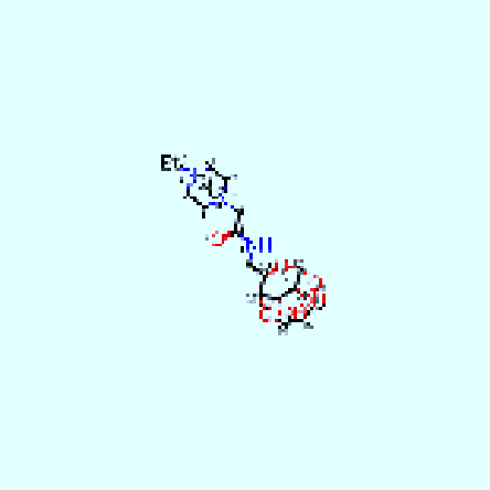 CC[N+]12CC[N+](CC(=O)NCC3OC4OCCCOC3C(O)C4O)(CC1)CC2